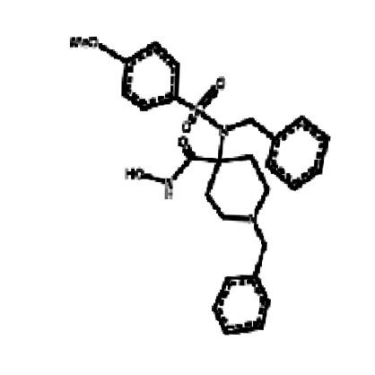 COc1ccc(S(=O)(=O)N(Cc2ccccc2)C2(C(=O)NO)CCN(Cc3ccccc3)CC2)cc1